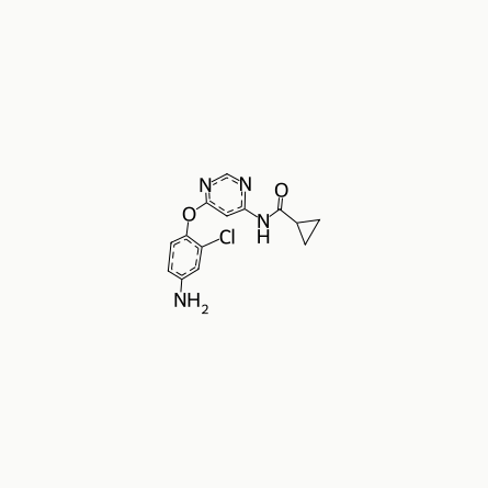 Nc1ccc(Oc2cc(NC(=O)C3CC3)ncn2)c(Cl)c1